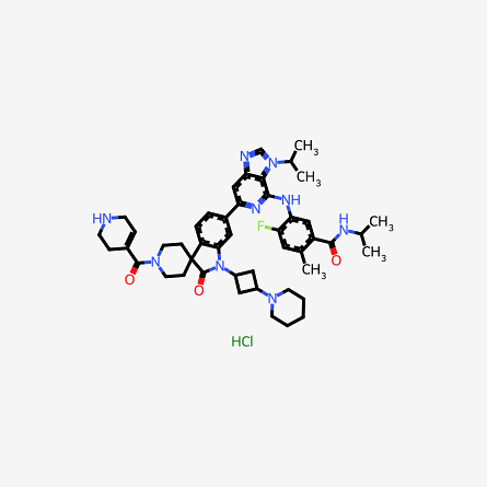 Cc1cc(F)c(Nc2nc(-c3ccc4c(c3)N(C3CC(N5CCCCC5)C3)C(=O)C43CCN(C(=O)C4=CCNCC4)CC3)cc3ncn(C(C)C)c23)cc1C(=O)NC(C)C.Cl